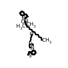 CCCCCCCC(CCCCC(C)(C)C(=O)Oc1ccc2ccccc2n1)OCCCCN1CCN(c2cccc3sccc23)CC1